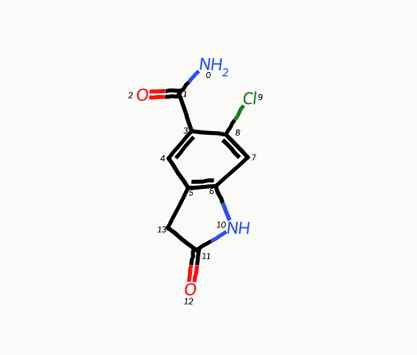 NC(=O)c1cc2c(cc1Cl)NC(=O)C2